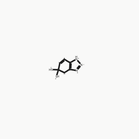 SC1(S)C=Cc2[nH]nnc2C1